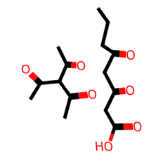 CC(=O)C(C(C)=O)C(C)=O.CCCC(=O)CC(=O)CC(=O)O